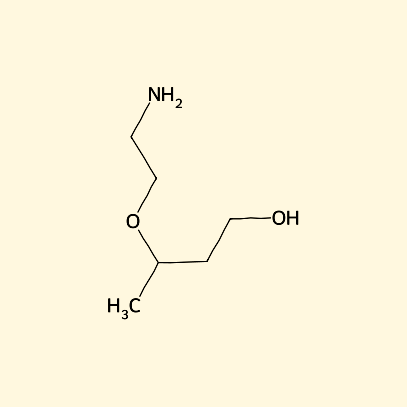 CC(CCO)OCCN